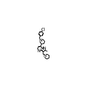 Cc1nn2c(C3CCCN(Cc4ccc(Cl)cc4)C3)ccnc2c1CN1CCCCC1